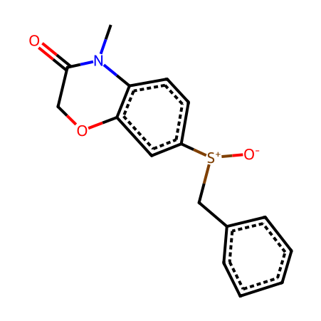 CN1C(=O)COc2cc([S+]([O-])Cc3ccccc3)ccc21